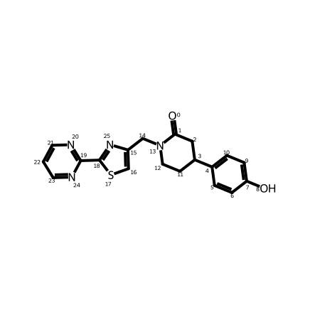 O=C1CC(c2ccc(O)cc2)CCN1Cc1csc(-c2ncccn2)n1